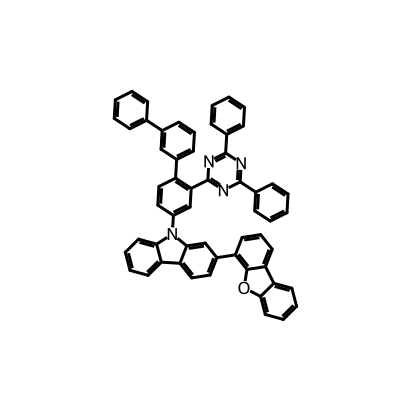 c1ccc(-c2cccc(-c3ccc(-n4c5ccccc5c5ccc(-c6cccc7c6oc6ccccc67)cc54)cc3-c3nc(-c4ccccc4)nc(-c4ccccc4)n3)c2)cc1